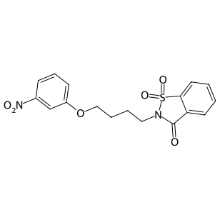 O=C1c2ccccc2S(=O)(=O)N1CCCCOc1cccc([N+](=O)[O-])c1